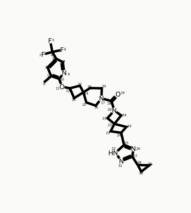 Cc1cc(C(F)(F)F)cnc1OC1CC2(CCN(C(=O)N3CC4(CC(c5nc(C6CC6)n[nH]5)C4)C3)CC2)C1